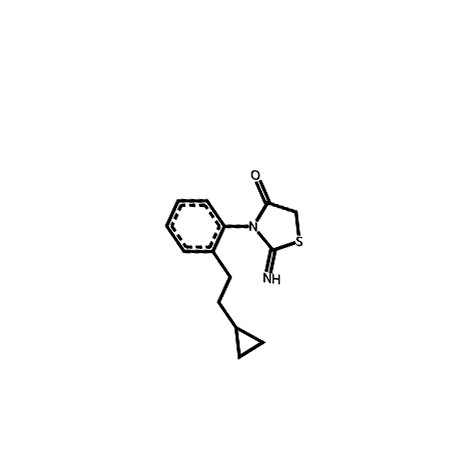 N=C1SCC(=O)N1c1ccccc1CCC1CC1